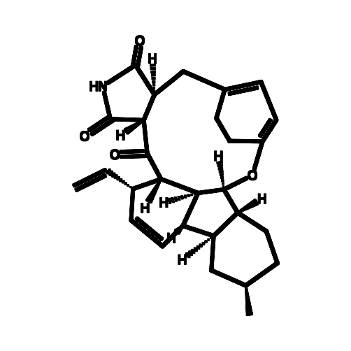 C=C[C@H]1C=C[C@H]2[C@@H]3C[C@H](C)CC[C@H]3[C@@H]3OC4=CC=C(CC4)C[C@@H]4C(=O)NC(=O)[C@H]4C(=O)[C@@H]1[C@H]23